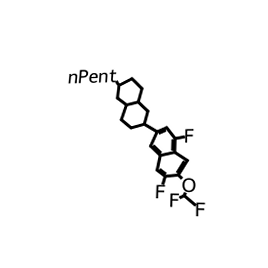 CCCCCC1CCC2CC(c3cc(F)c4cc(OC(F)F)c(F)cc4c3)CCC2C1